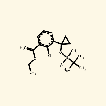 C=C(OCC)c1ccnc(C2(O[Si](C)(C)C(C)(C)C)CC2)c1Cl